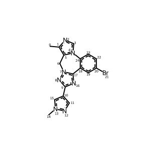 Cc1ncn2c1Cn1nc(-c3cnn(C)c3)nc1-c1cc(Br)ccc1-2